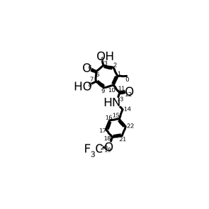 Cc1cc(O)c(=O)c(O)cc1C(=O)NCc1ccc(OC(F)(F)F)cc1